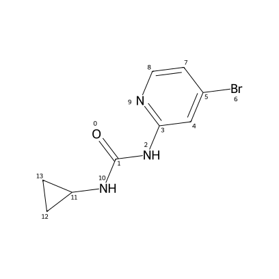 O=C(Nc1cc(Br)ccn1)NC1CC1